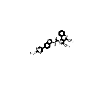 Cc1ncc(-c2ccc3c(c2)OC[C@H]3NC(=O)n2nc(C)c3c(C)nc4ccccc4c32)cn1